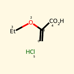 C=C(OCC)C(=O)O.Cl